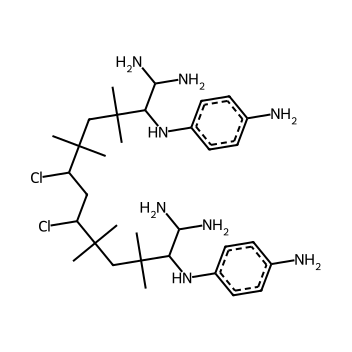 CC(C)(CC(C)(C)C(Nc1ccc(N)cc1)C(N)N)C(Cl)CC(Cl)C(C)(C)CC(C)(C)C(Nc1ccc(N)cc1)C(N)N